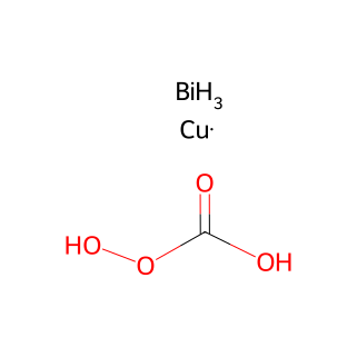 O=C(O)OO.[BiH3].[Cu]